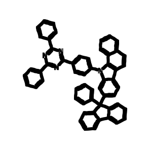 c1ccc(-c2nc(-c3ccccc3)nc(-c3ccc(-n4c5cc(C6(c7ccccc7)c7ccccc7-c7ccccc76)ccc5c5ccc6ccccc6c54)cc3)n2)cc1